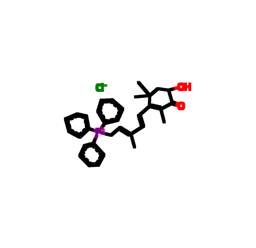 CC(C=CC1=C(C)C(=O)C(O)CC1(C)C)=CC[P+](c1ccccc1)(c1ccccc1)c1ccccc1.[Cl-]